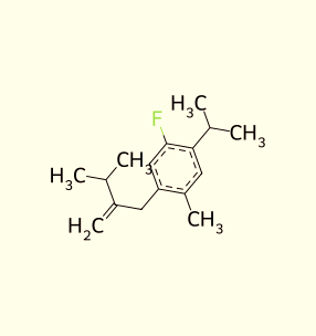 C=C(Cc1cc(F)c(C(C)C)cc1C)C(C)C